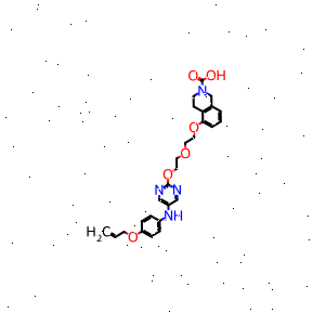 C=CCOc1ccc(Nc2cnc(OCCOCCOc3cccc4c3CCN(C(=O)O)C4)nc2)cc1